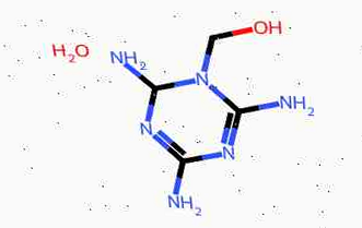 NC1=NC(N)N(CO)C(N)=N1.O